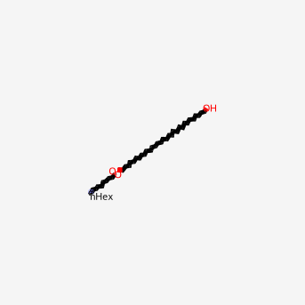 CCCCCC/C=C\CCCCCCCC(=O)OCCCCCCCCCCCCCCCCCCCCCCCCCCCCCCCCO